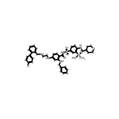 C[N+]([O-])(O)c1cc(S(=O)(=O)NC(=O)c2ccc(NCCNCc3ccccc3-c3ccc(Cl)cc3)cc2NCc2ccccc2)ccc1NCC1CCOCC1